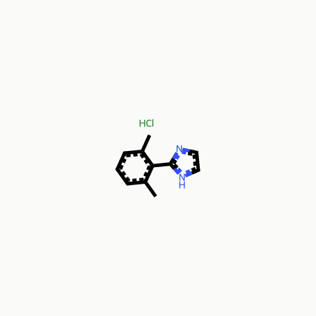 Cc1cccc(C)c1-c1ncc[nH]1.Cl